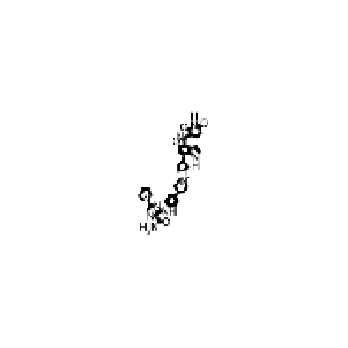 NC(=O)c1ncc(N2CCCCC2)nc1Nc1ccc(C2CCN(C[C@@H]3CCC(c4cc5onc(C6CCC(=O)NC6=O)c5c5cc[nH]c45)C3)CC2)cc1